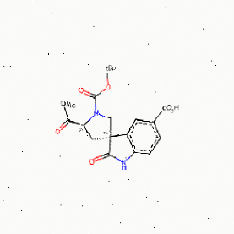 COC(=O)[C@@H]1C[C@@]2(CN1C(=O)OC(C)(C)C)C(=O)Nc1ccc(C(=O)O)cc12